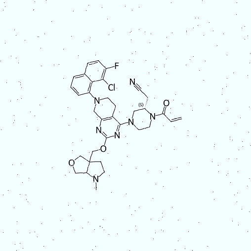 C=CC(=O)N1CCN(c2nc(OCC34CCN(C)C3COC4)nc3c2CCN(c2cccc4ccc(F)c(Cl)c24)C3)C[C@@H]1CC#N